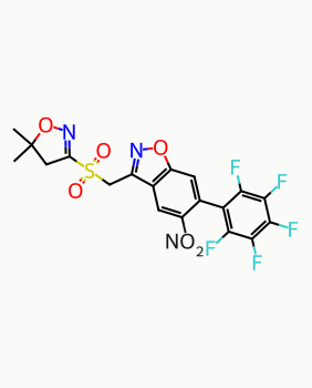 CC1(C)CC(S(=O)(=O)Cc2noc3cc(-c4c(F)c(F)c(F)c(F)c4F)c([N+](=O)[O-])cc23)=NO1